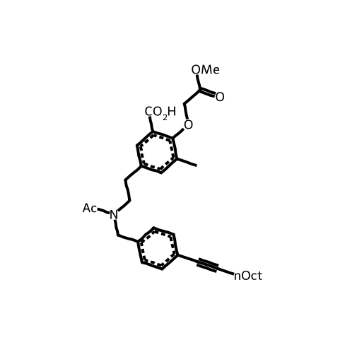 CCCCCCCCC#Cc1ccc(CN(CCc2cc(C)c(OCC(=O)OC)c(C(=O)O)c2)C(C)=O)cc1